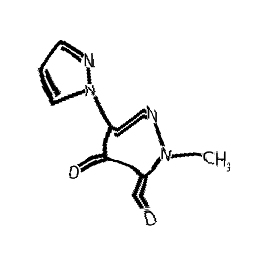 CN1N=C(n2cccn2)C(=O)C1=O